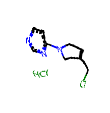 Cl.ClCC1CCN(c2ccncn2)C1